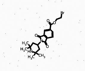 CC1(C)CC(N2C(=O)c3ccc(C(=O)OCCBr)cc3C2=O)CC(C)(C)N1